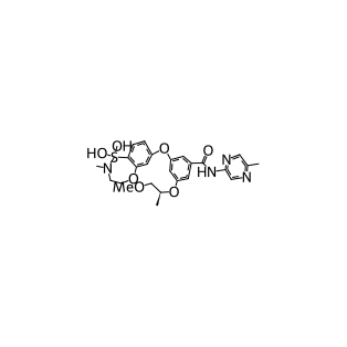 COC[C@H](C)Oc1cc(Oc2ccc3c(c2)OCCN(C)S3(O)O)cc(C(=O)Nc2cnc(C)cn2)c1